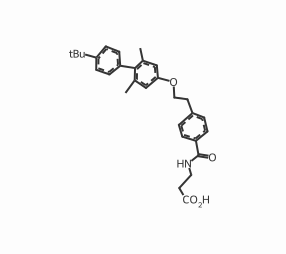 Cc1cc(OCCc2ccc(C(=O)NCCC(=O)O)cc2)cc(C)c1-c1ccc(C(C)(C)C)cc1